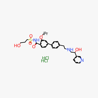 CC(C)Oc1cc(-c2ccc(CCNC[C@@H](O)c3cccnc3)cc2)ccc1C(=O)NS(=O)(=O)CCCO.Cl.Cl